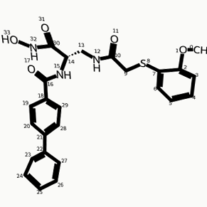 COc1ccccc1SCC(=O)NC[C@H](NC(=O)c1ccc(-c2ccccc2)cc1)C(=O)NO